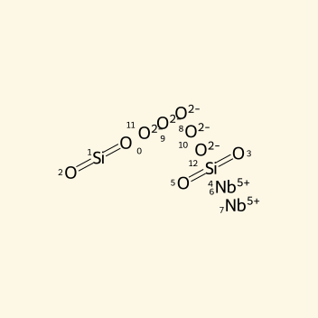 O=[Si]=O.O=[Si]=O.[Nb+5].[Nb+5].[O-2].[O-2].[O-2].[O-2].[O-2]